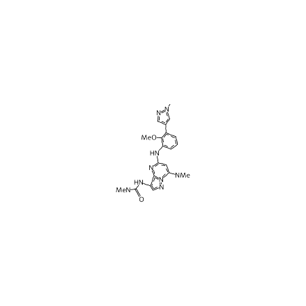 CNC(=O)Nc1cnn2c(NC)cc(Nc3cccc(-c4cnn(C)c4)c3OC)nc12